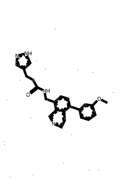 COc1cccc(-c2ccc(CNC(=O)CCc3cn[nH]c3)c3cnccc23)c1